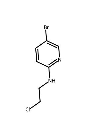 ClCCNc1ccc(Br)cn1